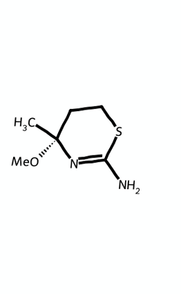 CO[C@]1(C)CCSC(N)=N1